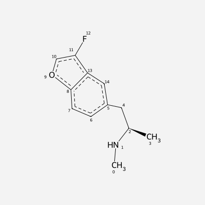 CN[C@H](C)Cc1ccc2occ(F)c2c1